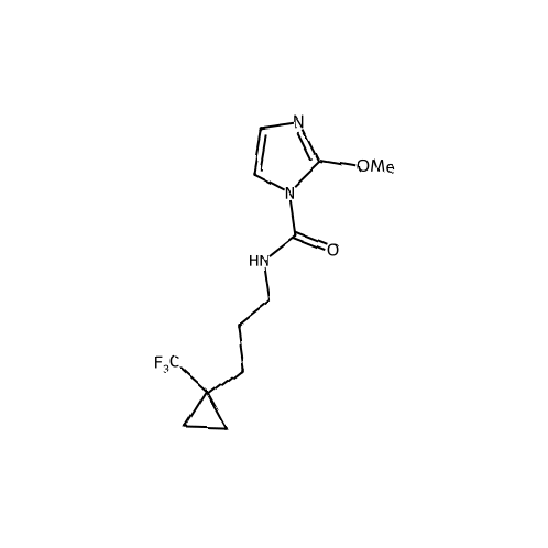 COc1nccn1C(=O)NCCCC1(C(F)(F)F)CC1